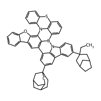 CCC1(c2ccc3c(c2)c2cc(C45CCC6CC(CC6C4)C5)cc4c2n3B2c3cccc5c3N(c3ccccc3S5)c3c2c-4cc2c3oc3ccccc32)CC2CCC(C2)C1